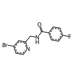 O=C(NCc1cc(Br)ccn1)c1ccc(F)cc1